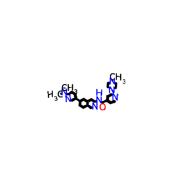 CN1CCN(c2cc(C(=O)Nc3cc4cc(-c5ccc(N(C)C)nc5)ccc4cn3)ccn2)CC1